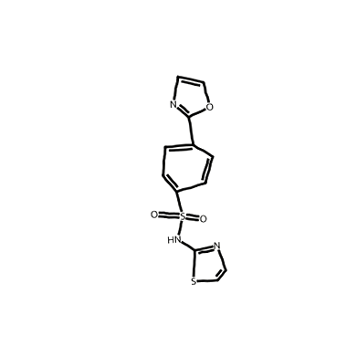 O=S(=O)(Nc1nccs1)c1ccc(-c2ncco2)cc1